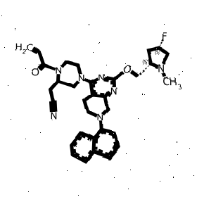 C=CC(=O)N1CCN(c2nc(OC[C@@H]3C[C@H](F)CN3C)nc3c2CCN(c2cccc4ccccc24)C3)CC1CC#N